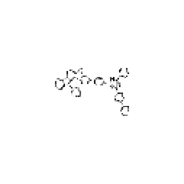 c1ccc(-c2ccc(-c3nc(-c4ccccc4)nc(-c4ccc(-c5ccc6c(c5)oc5ccc7c8ccccc8n(-c8ccccc8)c7c56)cc4)n3)cc2)cc1